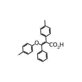 Cc1ccc(OC(=C(C(=O)O)c2ccc(C)cc2)c2ccccc2)cc1